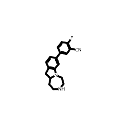 N#Cc1cc(-c2ccc3c(c2)N2CCNCCC2C3)ccc1F